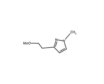 COCCc1ccn(C)n1